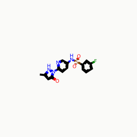 Cc1cc(=O)n(-c2ccc(NS(=O)(=O)c3cccc(F)c3)cn2)[nH]1